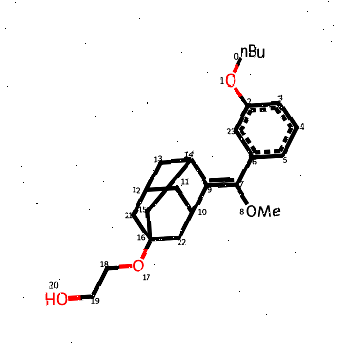 CCCCOc1cccc(C(OC)=C2C3CC4CC2CC(OCCO)(C4)C3)c1